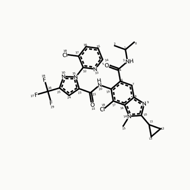 CC(C)NC(=O)c1cc2nc(C3CC3)n(C)c2c(Cl)c1NC(=O)c1cc(C(F)(F)F)nn1-c1ncccc1Cl